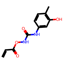 C=CC(=O)ONC(=O)Nc1ccc(C)c(O)c1